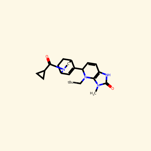 Cn1c2c([nH]c1=O)C=CC(C1=CC3CCC1CN3C(=O)C1CC1)N2CC(C)(C)C